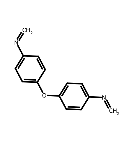 C=Nc1ccc(Oc2ccc(N=C)cc2)cc1